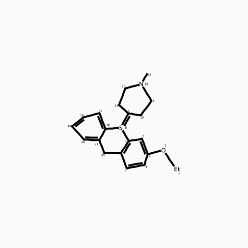 CCOc1ccc2c(c1)S(=C1CCN(C)CC1)c1ccccc1C2